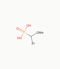 [CH2]CC(OC)P(=O)(O)O